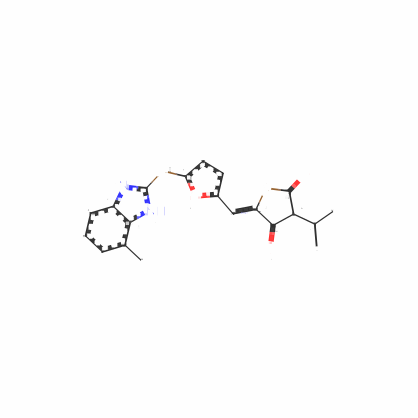 Cc1cccc2nc(Sc3ccc(/C=C4\SC(=O)C(C(C)C)C4=O)o3)[nH]c12